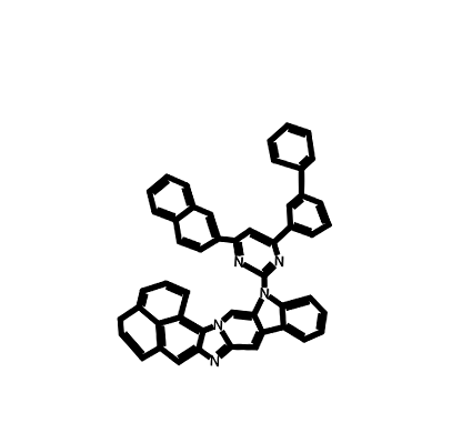 C1=Cc2cc3nc4cc5c6ccccc6n(-c6nc(-c7cccc(-c8ccccc8)c7)cc(-c7ccc8ccccc8c7)n6)c5cn4c3c3cccc(c23)C1